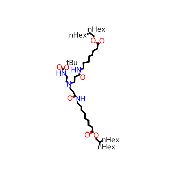 CCCCCCC(CCCCCC)COC(=O)CCCCCCCCNC(=O)CCN(CCNC(=O)OC(C)(C)C)CCC(=O)NCCCCCCCC(=O)OCC(CCCCCC)CCCCCC